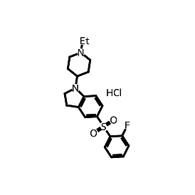 CCN1CCC(N2CCc3cc(S(=O)(=O)c4ccccc4F)ccc32)CC1.Cl